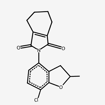 CC1Cc2c(N3C(=O)C4=C(CCCC4)C3=O)ccc(Cl)c2O1